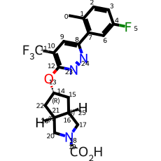 Cc1ccc(F)cc1-c1cc(C(F)(F)F)c(O[C@@H]2C[C@@H]3CN(C(=O)O)C[C@@H]3C2)nn1